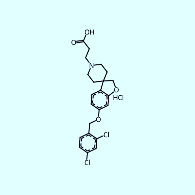 Cl.O=C(O)CCN1CCC2(CC1)COc1cc(OCc3ccc(Cl)cc3Cl)ccc12